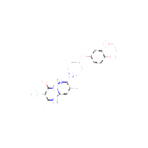 Cc1cc2nc(C)c(Cl)c(=O)n2nc1N1CCC(Oc2ccc3c(c2)OCCO3)CC1